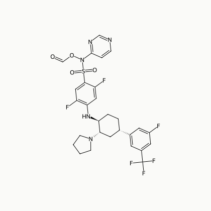 O=CON(c1ccncn1)S(=O)(=O)c1cc(F)c(N[C@H]2CC[C@H](c3cc(F)cc(C(F)(F)F)c3)C[C@@H]2N2CCCC2)cc1F